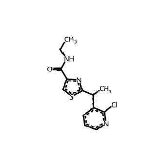 CCNC(=O)c1csc([C](C)c2cccnc2Cl)n1